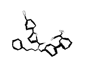 O=C(O)c1ccccc1-c1ccc(CN(CCCc2ccccc2)C(=O)c2ccc(-c3ccc(Cl)cc3)o2)cc1